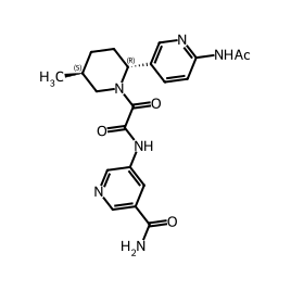 CC(=O)Nc1ccc([C@H]2CC[C@H](C)CN2C(=O)C(=O)Nc2cncc(C(N)=O)c2)cn1